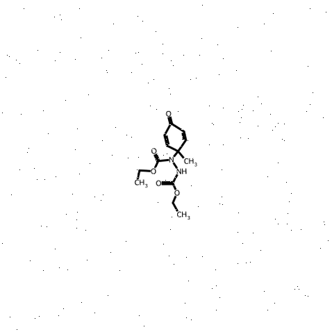 CCOC(=O)NN(C(=O)OCC)C1(C)C=CC(=O)C=C1